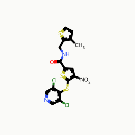 Cc1ccsc1CNC(=O)c1cc([N+](=O)[O-])c(Sc2c(Cl)cncc2Cl)s1